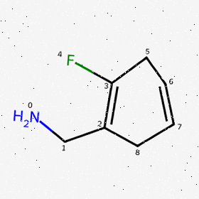 NCC1=C(F)CC=CC1